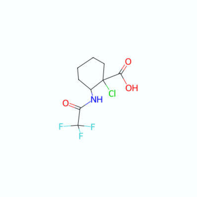 O=C(NC1CCCCC1(Cl)C(=O)O)C(F)(F)F